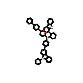 C1=CC(c2cccc3c2oc2ccccc23)=C(N(c2ccc(-c3ccc(-c4ccccc4)cc3)cc2)c2ccc(-c3ccc4c(c3)c3ccccc3n4-c3ccccc3)cc2)CC1